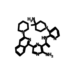 C=C(Nc1ncccc1N1CCC(C)(N)CC1)c1nc(-c2nc(N3CCCCC3)cc3ccccc23)cnc1N